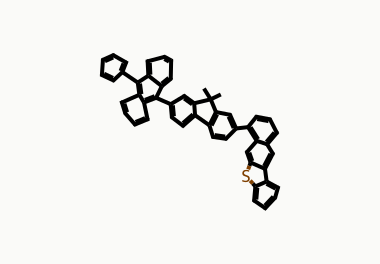 CC1(C)c2cc(-c3cccc4cc5c(cc34)sc3ccccc35)ccc2-c2ccc(-c3c4ccccc4c(-c4ccccc4)c4ccccc34)cc21